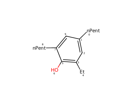 CCCCCc1cc(CC)c(O)c(CCCCC)c1